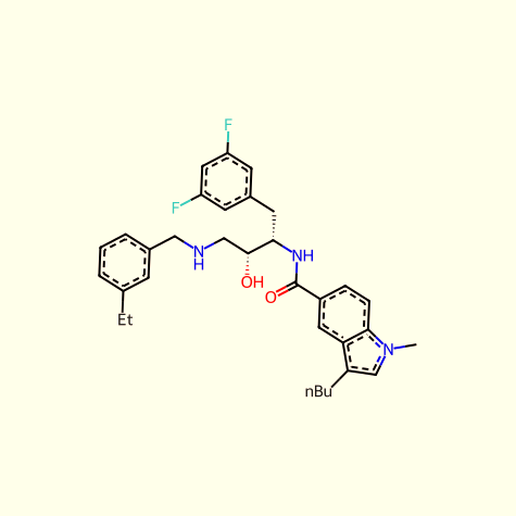 CCCCc1cn(C)c2ccc(C(=O)N[C@@H](Cc3cc(F)cc(F)c3)[C@H](O)CNCc3cccc(CC)c3)cc12